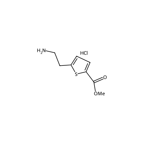 COC(=O)c1ccc(CCN)s1.Cl